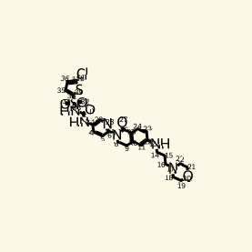 O=C(Nc1ccc(-n2ccc3cc(NCCCN4CCOCC4)ccc3c2=O)nc1)NS(=O)(=O)c1ccc(Cl)s1